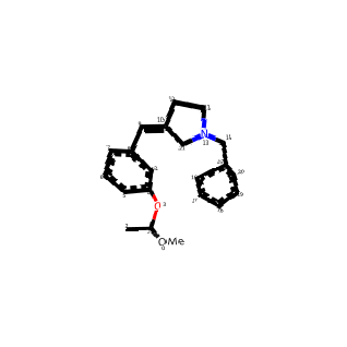 COC(C)Oc1cccc(C=C2CCN(Cc3ccccc3)C2)c1